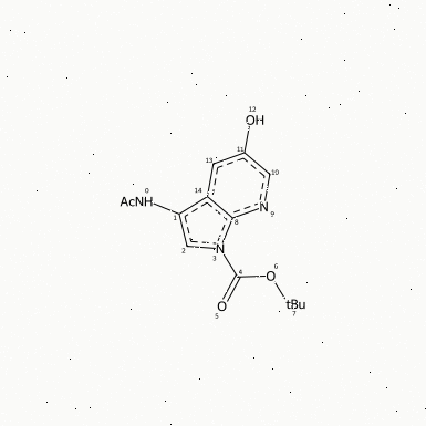 CC(=O)Nc1cn(C(=O)OC(C)(C)C)c2ncc(O)cc12